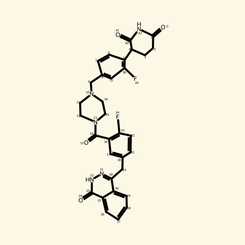 O=C1CCC(c2ccc(CN3CCN(C(=O)c4cc(Cc5n[nH]c(=O)c6ccccc56)ccc4F)CC3)cc2F)C(=O)N1